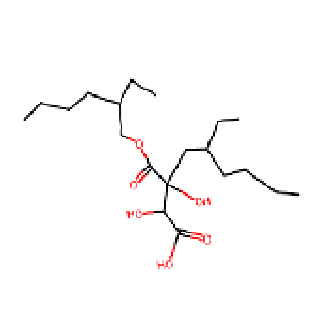 CCCCC(CC)COC(=O)C(O)(CC(CC)CCCC)C(O)C(=O)O